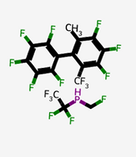 Cc1c(F)c(F)c(F)c(C(F)(F)F)c1-c1c(F)c(F)c(F)c(F)c1F.FCPC(F)(F)C(F)(F)F